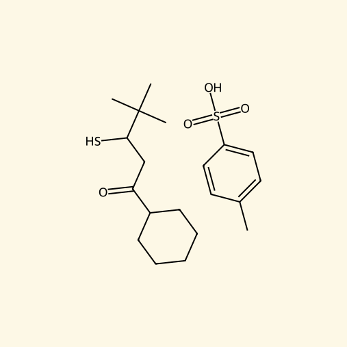 CC(C)(C)C(S)CC(=O)C1CCCCC1.Cc1ccc(S(=O)(=O)O)cc1